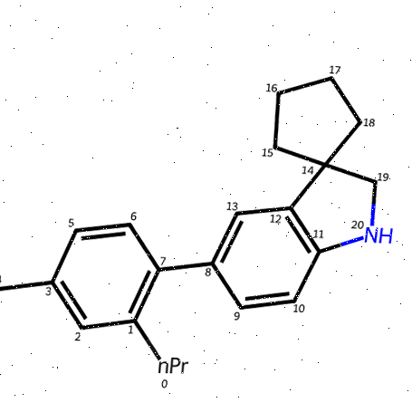 CCCc1cc(C)ccc1-c1ccc2c(c1)C1(CCCC1)CN2